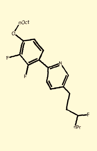 CCCCCCCCOc1ccc(-c2ccc(CCC(F)CCC)cn2)c(F)c1F